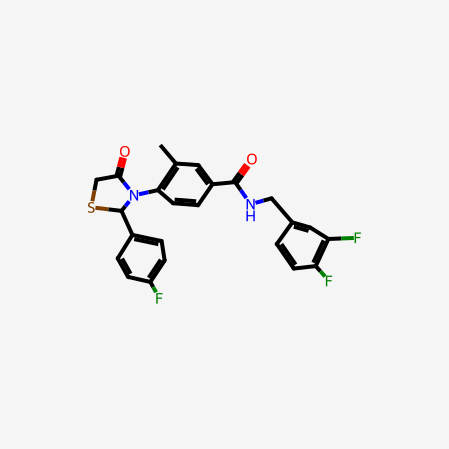 Cc1cc(C(=O)NCc2ccc(F)c(F)c2)ccc1N1C(=O)CSC1c1ccc(F)cc1